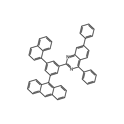 c1ccc(-c2ccc3c(-c4ccccc4)nc(-c4cc(-c5cccc6ccccc56)cc(-c5c6ccccc6cc6ccccc56)c4)nc3c2)cc1